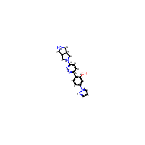 Oc1cc(-n2cccn2)ccc1-c1ccc(N2CC3CNCC3C2)nn1